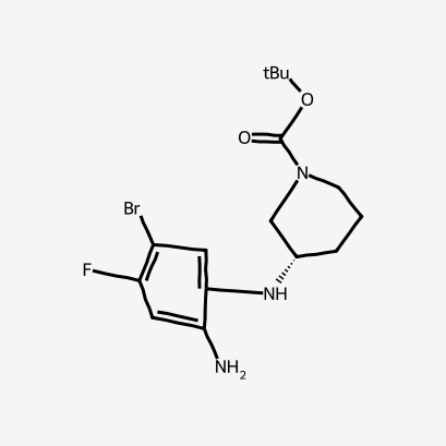 CC(C)(C)OC(=O)N1CCC[C@H](Nc2cc(Br)c(F)cc2N)C1